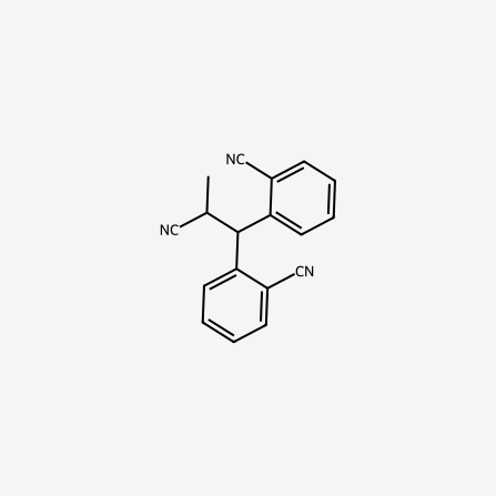 CC(C#N)C(c1ccccc1C#N)c1ccccc1C#N